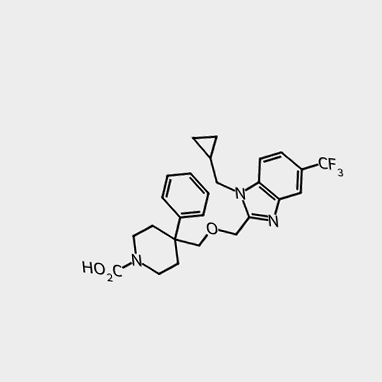 O=C(O)N1CCC(COCc2nc3cc(C(F)(F)F)ccc3n2CC2CC2)(c2ccccc2)CC1